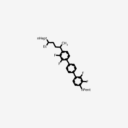 CCCCCCCC(CC)CCC(C)c1ccc(-c2ccc(-c3ccc(CCCCC)c(F)c3F)cc2)c(F)c1F